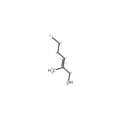 C/C(=C\CCI)CO